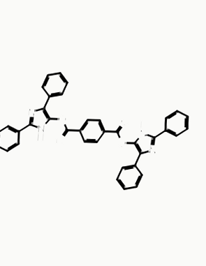 O=C(Oc1[nH]c(-c2ccccc2)nc1-c1ccccc1)c1ccc(C(=O)Oc2[nH]c(-c3ccccc3)nc2-c2ccccc2)cc1